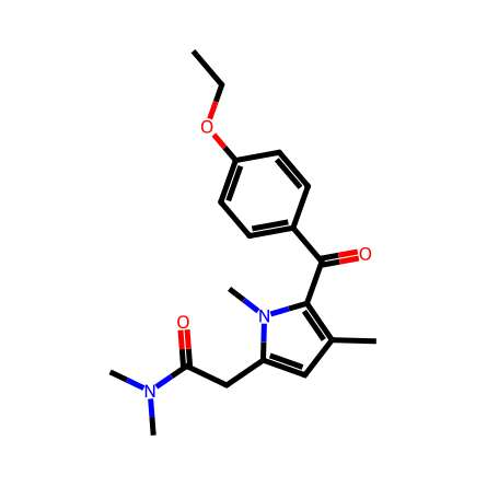 CCOc1ccc(C(=O)c2c(C)cc(CC(=O)N(C)C)n2C)cc1